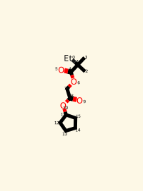 CCC(C)(C)C(=O)OCC(=O)OC1CCCC1